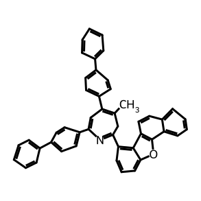 CC1=C(c2ccc(-c3ccccc3)cc2)C=C(c2ccc(-c3ccccc3)cc2)N=C(c2cccc3oc4c5ccccc5ccc4c23)C1